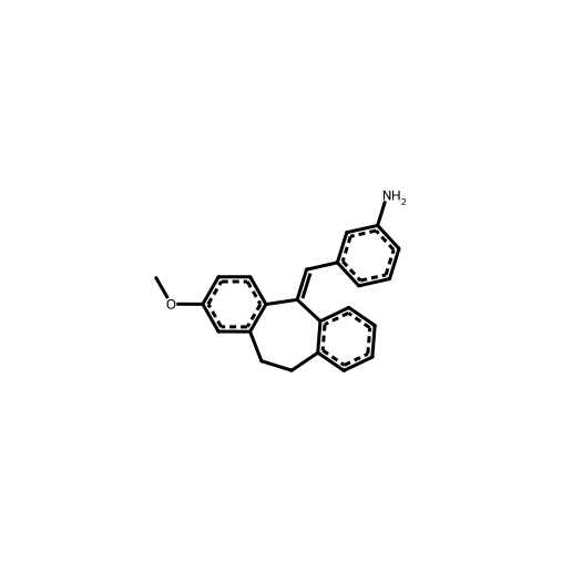 COc1ccc2c(c1)CCc1ccccc1C2=Cc1cccc(N)c1